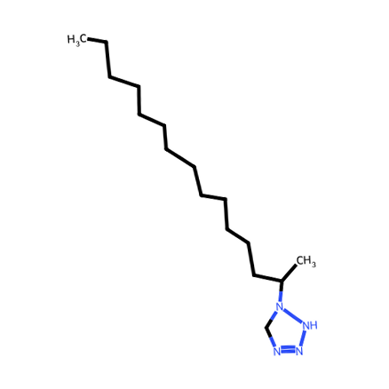 CCCCCCCCCCCCCC(C)N1CN=NN1